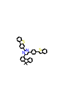 CC1(C)c2ccccc2-c2c(-c3cc(-c4ccc(-c5cc6ccccc6s5)cc4)nc(-c4ccc5c(c4)sc4ccccc45)n3)cccc21